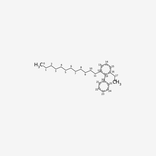 CCCCCCCCCCCCc1[c]ccc(CC)c1-c1ccccc1